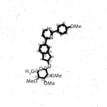 COc1ccc(-c2nccc(-c3ccc4c(c3)CC(O[C@@H]3O[C@@H](C)[C@H](OC)[C@@H](OC)[C@H]3OC)C4)n2)cc1